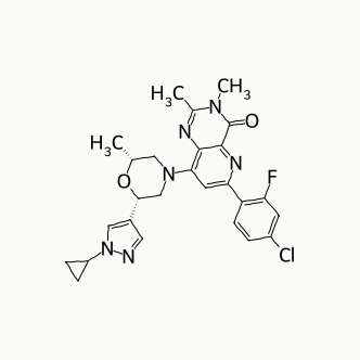 Cc1nc2c(N3C[C@@H](C)O[C@@H](c4cnn(C5CC5)c4)C3)cc(-c3ccc(Cl)cc3F)nc2c(=O)n1C